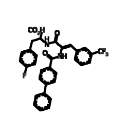 O=C(NC(Cc1ccc(F)cc1)C(=O)O)C(=Cc1cccc(C(F)(F)F)c1)NC(=O)c1ccc(-c2ccccc2)cc1